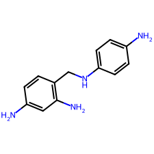 Nc1ccc(NCc2ccc(N)cc2N)cc1